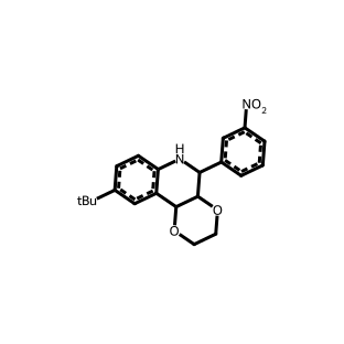 CC(C)(C)c1ccc2c(c1)C1OCCOC1C(c1cccc([N+](=O)[O-])c1)N2